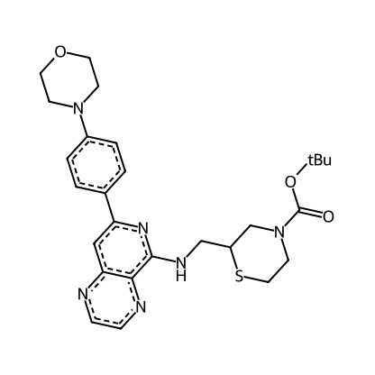 CC(C)(C)OC(=O)N1CCSC(CNc2nc(-c3ccc(N4CCOCC4)cc3)cc3nccnc23)C1